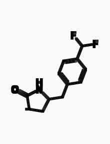 O=C1[CH]CC(Cc2ccc(C(F)F)cc2)N1